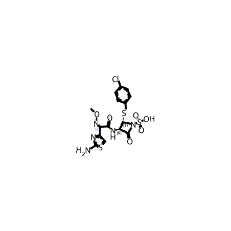 CO/N=C(\C(=O)N[C@@H]1C(=O)N(S(=O)(=O)O)[C@H]1SCc1ccc(Cl)cc1)c1csc(N)n1